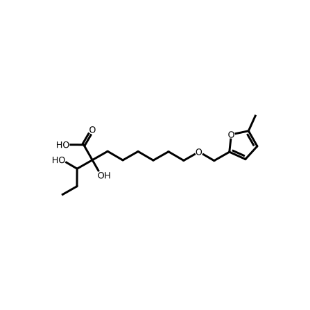 CCC(O)C(O)(CCCCCCOCc1ccc(C)o1)C(=O)O